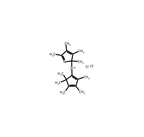 CC1=N[C](C)([Zr+2][C]2=C(C)C(C)=C(C)C2(C)C)C(C)=C1C.[Cl-].[Cl-]